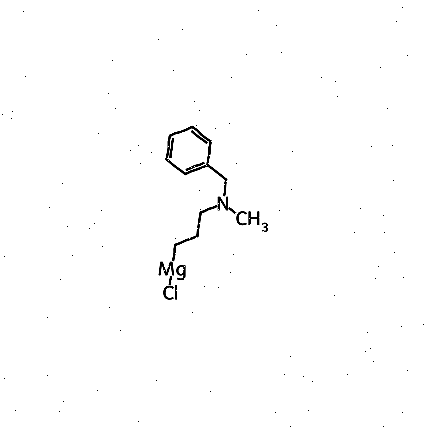 CN(CC[CH2][Mg][Cl])Cc1ccccc1